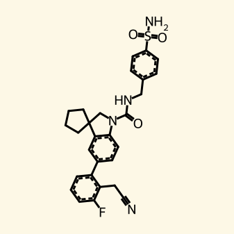 N#CCc1c(F)cccc1-c1ccc2c(c1)C1(CCCC1)CN2C(=O)NCc1ccc(S(N)(=O)=O)cc1